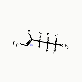 F/C(=C\C(F)(F)F)C(F)(F)C(F)(F)C(F)(F)C(F)(F)F